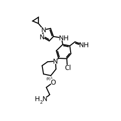 N=Cc1cc(Cl)c(N2CCC[C@@H](OCCN)C2)cc1Nc1cnn(C2CC2)c1